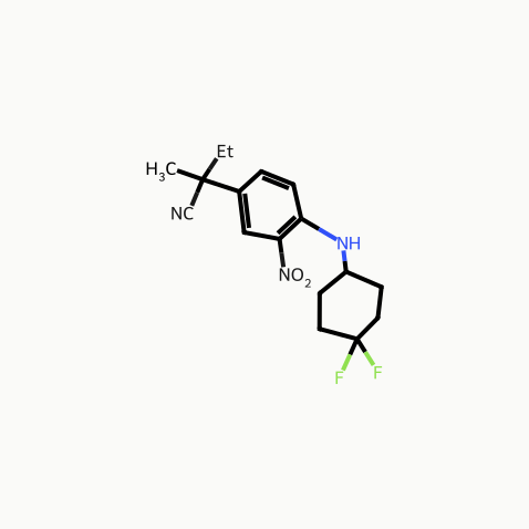 CCC(C)(C#N)c1ccc(NC2CCC(F)(F)CC2)c([N+](=O)[O-])c1